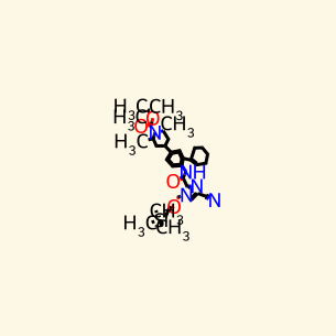 CC1CC(c2ccc(NC(=O)c3nc(C#N)cn3COCC[Si](C)(C)C)c(C3=CCCCC3)c2)CC(C)N1C(=O)OC(C)(C)C